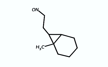 CC12CCCCC1C2CCN=O